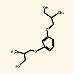 CC(CO)COc1cccc(OCC(C)CO)c1